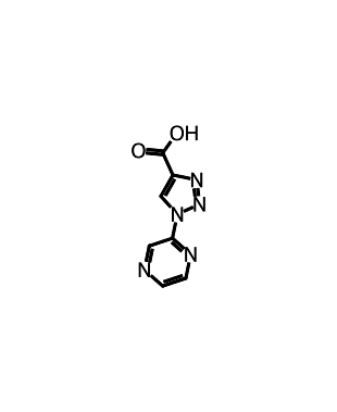 O=C(O)c1cn(-c2cnccn2)nn1